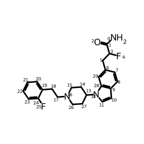 NC(=O)C(F)Cc1ccc2ccn(C3CCN(CCc4ccccc4F)CC3)c2c1